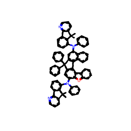 CC1(C)c2cccnc2-c2cccc(N(c3ccccc3)c3cc4c(c5ccccc35)-c3c(cc(N(c5ccccc5)c5cccc6c5C(C)(C)c5cccnc5-6)c5oc6ccccc6c35)C4(c3ccccc3)c3ccccc3)c21